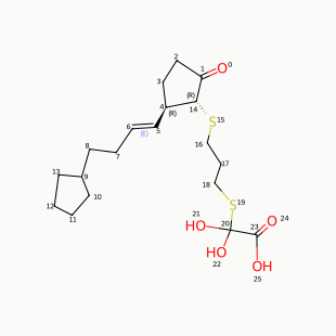 O=C1CC[C@H](/C=C/CCC2CCCC2)[C@H]1SCCCSC(O)(O)C(=O)O